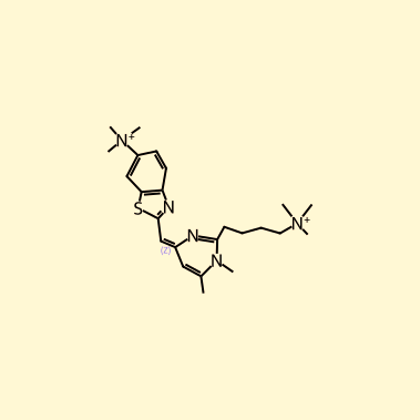 CC1=C/C(=C/c2nc3ccc([N+](C)(C)C)cc3s2)N=C(CCCC[N+](C)(C)C)N1C